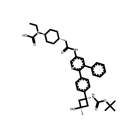 CCN(C(=O)O)[C@H]1CC[C@H](CC(=O)Nc2cnc(-c3ccc([C@]4(NC(=O)OC(C)(C)C)C[C@](C)(O)C4)cc3)c(-c3ccccc3)c2)CC1